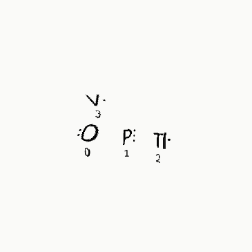 [O].[P].[Tl].[V]